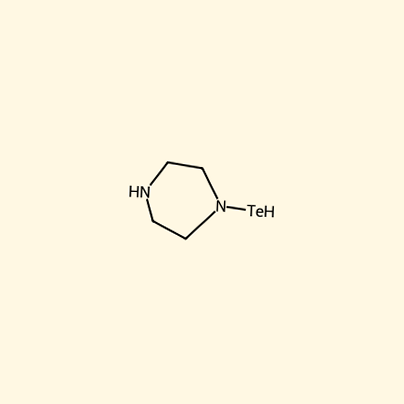 [TeH]N1CCNCC1